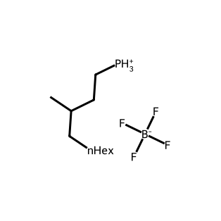 CCCCCCCC(C)CC[PH3+].F[B-](F)(F)F